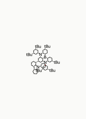 CC(C)(C)c1cc(N2c3cc(C(C)(C)C)ccc3B3c4ccc(C(C)(C)C)cc4N(c4cc(C(C)(C)C)cc(C(C)(C)C)c4)c4cc(-c5cccc6c7ccccc7n(-c7ccccc7)c56)cc2c43)cc(C(C)(C)C)c1